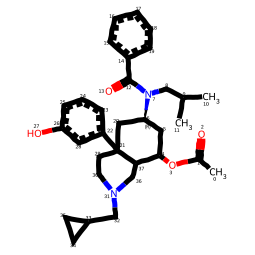 CC(=O)OC1C[C@H](N(CC(C)C)C(=O)c2ccccc2)CC2(c3cccc(O)c3)CCN(CC3CC3)CC12